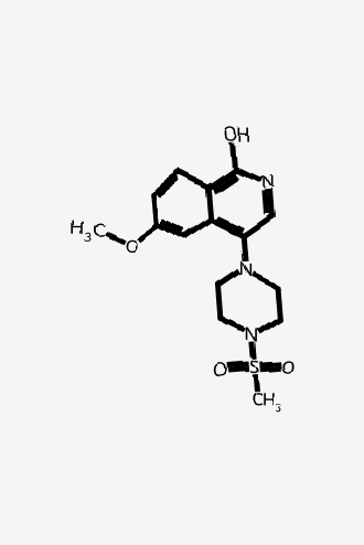 COc1ccc2c(O)ncc(N3CCN(S(C)(=O)=O)CC3)c2c1